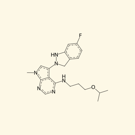 CC(C)OCCCNc1ncnc2c1c(N1Cc3ccc(F)cc3N1)cn2C